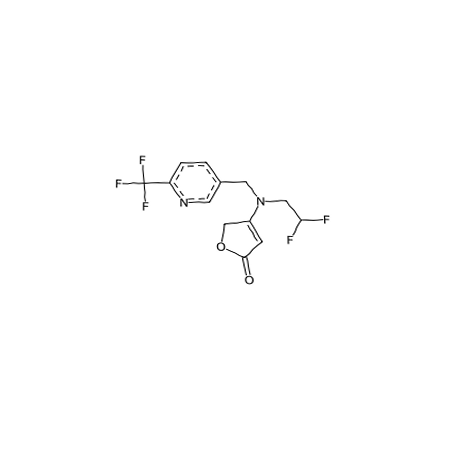 O=C1C=C(N(Cc2ccc(C(F)(F)F)nc2)CC(F)F)CO1